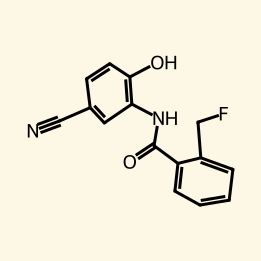 N#Cc1ccc(O)c(NC(=O)c2ccccc2CF)c1